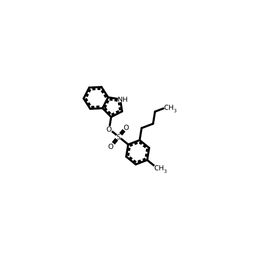 CCCCc1cc(C)ccc1S(=O)(=O)Oc1c[nH]c2ccccc12